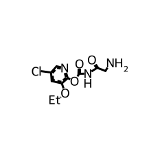 CCOc1cc(Cl)cnc1OC(=O)NC(=O)CN